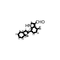 O=Cc1c[nH]c2c(-c3cc4ccccc4s3)ccc(F)c12